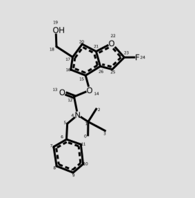 CC(C)(C)N(Cc1ccccc1)C(=O)Oc1cc(CO)cc2oc(F)cc12